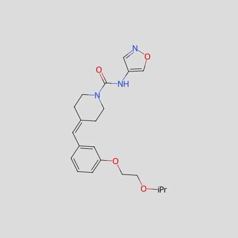 CC(C)OCCOc1cccc(C=C2CCN(C(=O)Nc3cnoc3)CC2)c1